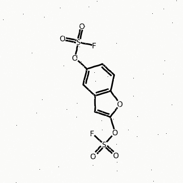 O=S(=O)(F)Oc1ccc2oc(OS(=O)(=O)F)cc2c1